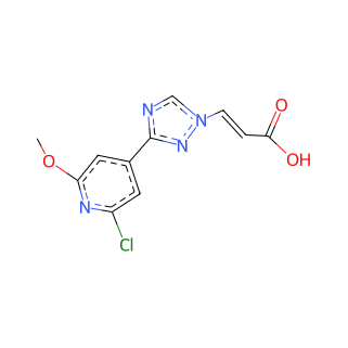 COc1cc(-c2ncn(C=CC(=O)O)n2)cc(Cl)n1